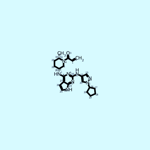 C=CC(=O)N1C[C@H](Nc2nc(Nc3cnn(C4CCCC4)c3)nc3[nH]ccc23)CC[C@@H]1C